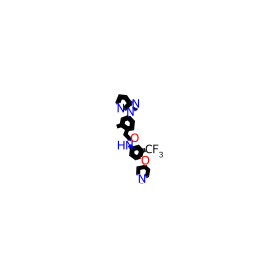 Cc1cc(-n2cnc3cccnc32)ccc1CC(=O)Nc1ccc(OC2CCN(C)CC2)c(C(F)(F)F)c1